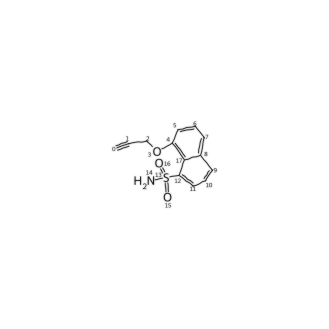 C#CCOc1cccc2cccc(S(N)(=O)=O)c12